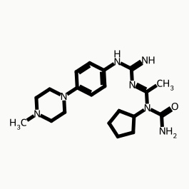 C/C(=N\C(=N)Nc1ccc(N2CCN(C)CC2)cc1)N(C(N)=O)C1CCCC1